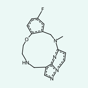 CN1Cc2cc(F)ccc2OCCNCc2cnn3ccc1nc23